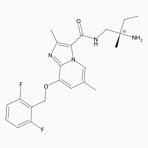 CC[C@](C)(N)CNC(=O)c1c(C)nc2c(OCc3c(F)cccc3F)cc(C)cn12